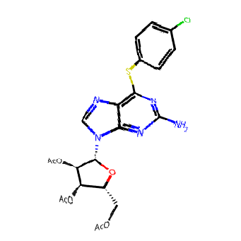 CC(=O)OC[C@H]1O[C@@H](n2cnc3c(Sc4ccc(Cl)cc4)nc(N)nc32)[C@H](OC(C)=O)[C@@H]1OC(C)=O